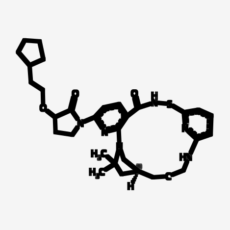 CC1(C)C[C@@H]2CCCNc3cccc(n3)SNC(=O)c3ccc(N4CCC(OCCC5CCCC5)C4=O)nc3N1C2